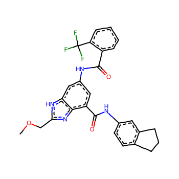 COCc1nc2c(C(=O)Nc3ccc4c(c3)CCC4)cc(NC(=O)c3ccccc3C(F)(F)F)cc2[nH]1